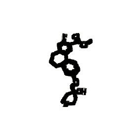 COC(=O)c1cc2c(cc1F)CCCc1cc(OCC3(O)CCSCC3)ccc1-2